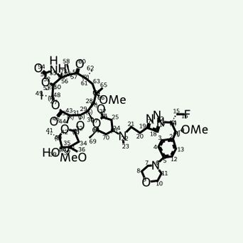 CO[C@H](c1ccc(N2CCOCC2)cc1)[C@@H](CF)n1cc(CCN(C)[C@@H]2C[C@H](O[C@@H]3[C@@H](C)[C@H](O[C@H]4C[C@@](C)(OC)[C@@H](O)[C@H](C)O4)[C@@H](C)C(=O)O[C@H](I)[C@@]4(C)OC(=O)N[C@@H]4[C@@H](C)C(=O)[C@H](C)C[C@@]3(C)OC)O[C@H](C)C2)nn1